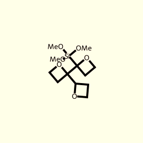 CO[Si](OC)(OC)C1(C2(C3CCO3)CCO2)CCO1